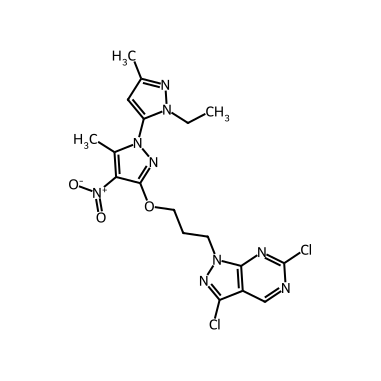 CCn1nc(C)cc1-n1nc(OCCCn2nc(Cl)c3cnc(Cl)nc32)c([N+](=O)[O-])c1C